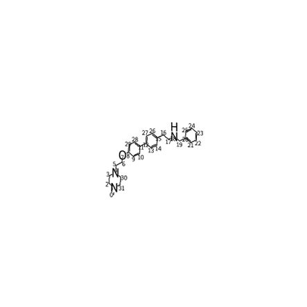 CN1CCN(CCOc2ccc(-c3ccc(CCNCc4ccccc4)cc3)cc2)CC1